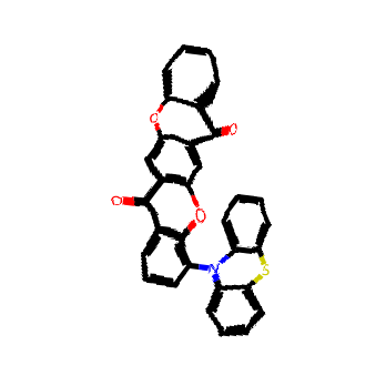 O=c1c2ccccc2oc2cc3c(=O)c4cccc(N5c6ccccc6Sc6ccccc65)c4oc3cc12